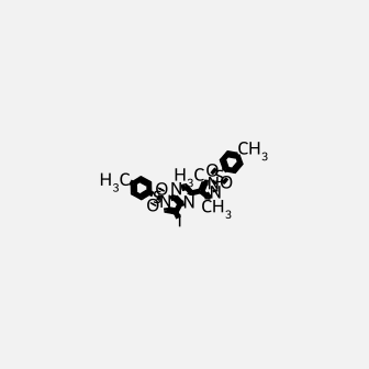 Cc1ccc(S(=O)(=O)n2nc(C)c(-c3cnc4c(n3)c(I)cn4S(=O)(=O)c3ccc(C)cc3)c2C)cc1